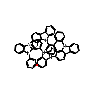 c1ccc(-n2c3ccccc3n3c4ccc5c6ccccc6n(-c6ccccc6-c6ccccc6-n6c7ccccc7c7ccc8c(nc9n(-c%10ccccc%10)c%10ccccc%10n89)c76)c5c4nc23)cc1